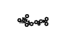 c1ccc(C2=NC(c3ccccc3)NC(c3cccc4c3sc3cc(-c5ccc6c(c5)oc5cc(-n7c8ccccc8c8ccccc87)ccc56)ccc34)=N2)cc1